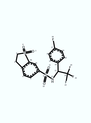 O=S1(=O)CCc2ccc(S(=O)(=O)NC(c3ccc(F)cc3)C(F)(F)F)cc21